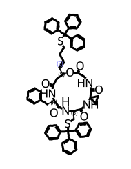 O=C1C[C@@H](/C=C/CCSC(c2ccccc2)(c2ccccc2)c2ccccc2)OC(=O)CNC(=O)C2(CC2)NC(=O)[C@@H](CSC(c2ccccc2)(c2ccccc2)c2ccccc2)NC(=O)[C@@H](Cc2ccccc2)N1